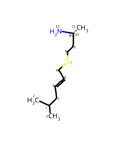 CC(C)C/C=C/CSCC[C@@H](C)N